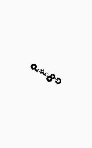 c1ccc(CNCCCOc2cccc3c2CCC3N2CCCCC2)cc1